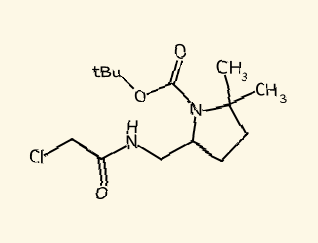 CC(C)(C)OC(=O)N1C(CNC(=O)CCl)CCC1(C)C